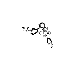 O=C(Nc1ccc(F)cc1)c1nc2cccc(-c3cc(C(F)(F)F)ccc3Cl)n2n1